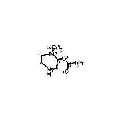 CCCC(=O)OC1CNCCN1C